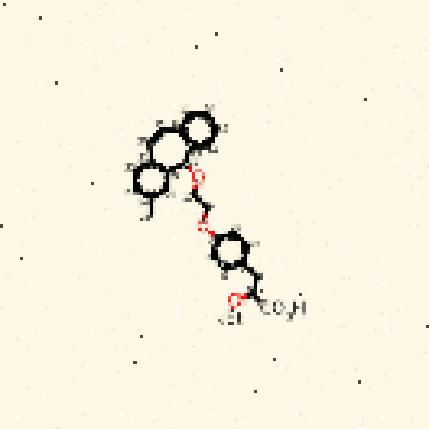 CCOC(Cc1ccc(OCCOC2c3ccccc3C=Cc3ccc(C)cc32)cc1)C(=O)O